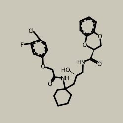 O=C(COc1ccc(Cl)c(F)c1)NC1(C[C@H](O)CNC(=O)[C@@H]2COc3ccccc3O2)CCCCC1